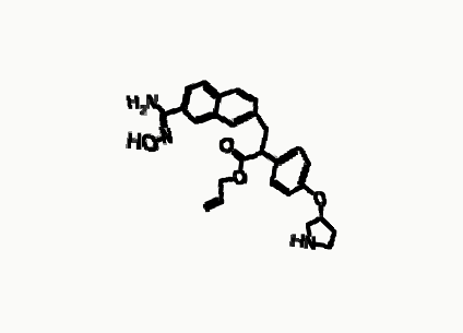 C=CCOC(=O)C(Cc1ccc2ccc(C(N)=NO)cc2c1)c1ccc(O[C@H]2CCNC2)cc1